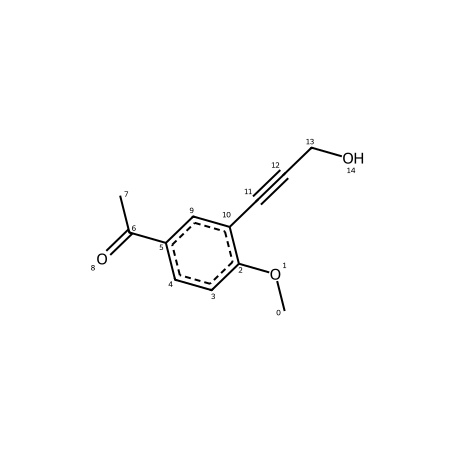 COc1ccc(C(C)=O)cc1C#CCO